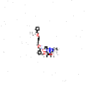 CN[C@@H](C)C(=O)N[C@H](C(=O)N1CCC[C@H]1C(=O)N[C@H](COCC#CC#CCOC[C@@H](C)C1CCCCC1)C1CCCCC1)C(C)(C)C